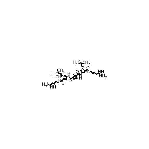 CC(C)CCn1cc(NC(=O)c2ccc(C(=O)Nc3cc(C(=O)NCCCCC(=N)N)n(CCC(C)C)c3)s2)cc1C(=O)NCCCCC(=N)N